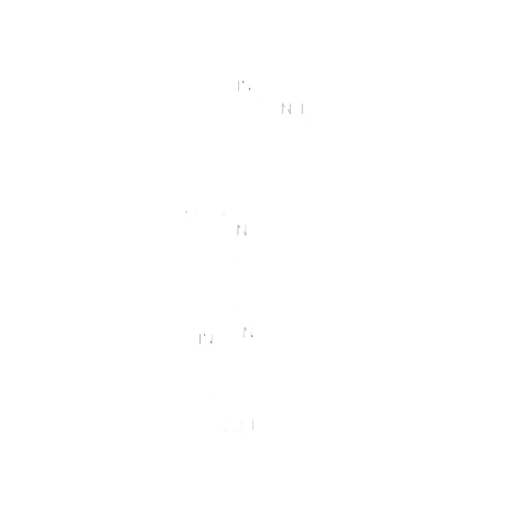 N=C(N)c1ccc(C(=O)N(Cc2ccccc2)c2ccc3[nH]c(CCC(=O)O)nc3c2)cc1